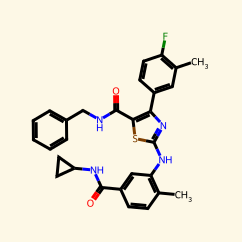 Cc1cc(-c2nc(Nc3cc(C(=O)NC4CC4)ccc3C)sc2C(=O)NCc2ccccc2)ccc1F